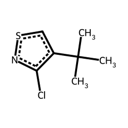 CC(C)(C)c1csnc1Cl